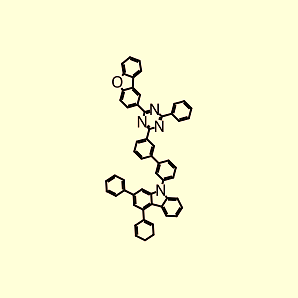 C1=CC(c2cc(-c3ccccc3)cc3c2c2ccccc2n3-c2cccc(-c3cccc(-c4nc(-c5ccccc5)nc(-c5ccc6oc7ccccc7c6c5)n4)c3)c2)=CCC1